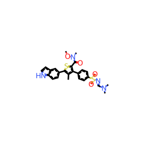 CON(C)C(=O)c1sc(-c2ccc3[nH]ccc3c2)c(C)c1-c1ccc(S(=O)(=O)N=CN(C)C)cc1